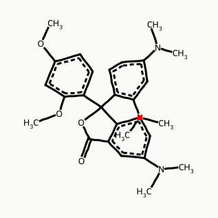 COc1ccc(C2(c3ccc(N(C)C)cc3N(C)C)OC(=O)c3cc(N(C)C)ccc32)c(OC)c1